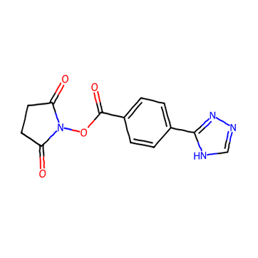 O=C(ON1C(=O)CCC1=O)c1ccc(-c2nnc[nH]2)cc1